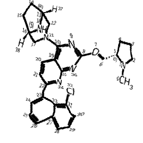 CN1CCC[C@H]1COc1nc(N2C[C@H]3CC[C@@H](C2)N3)c2ccc(-c3cccc4cccc(Cl)c34)nc2n1